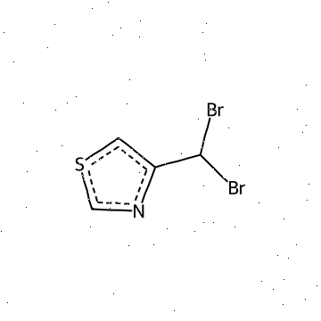 BrC(Br)c1cscn1